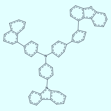 c1cc(-c2ccc(N(c3ccc(-c4cccc5ccccc45)cc3)c3ccc(-n4c5ccccc5c5ccccc54)cc3)cc2)cc(-c2cccc3oc4ccccc4c23)c1